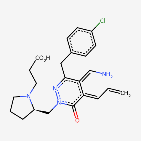 C=C/C=c1/c(=O)n(C[C@H]2CCCN2CCC(=O)O)nc(Cc2ccc(Cl)cc2)/c1=C/N